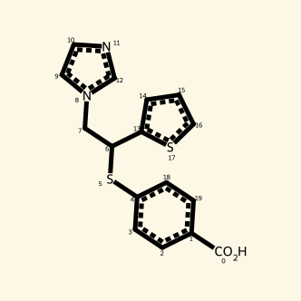 O=C(O)c1ccc(SC(Cn2ccnc2)c2cccs2)cc1